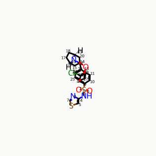 O=S(=O)(Nc1cscn1)c1ccc(OC2C[C@H]3CC[C@@H](C2)N3Cc2ccccc2)c(Cl)c1